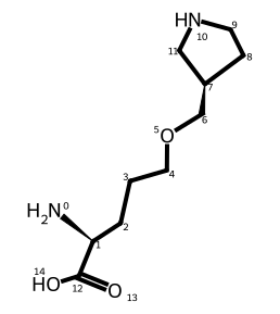 N[C@@H](CCCOC[C@@H]1CCNC1)C(=O)O